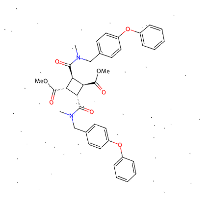 COC(=O)[C@H]1[C@H](C(=O)N(C)Cc2ccc(Oc3ccccc3)cc2)[C@H](C(=O)OC)[C@H]1C(=O)N(C)Cc1ccc(Oc2ccccc2)cc1